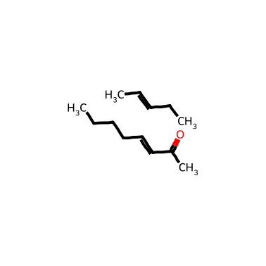 CC=CCC.CCCC/C=C/C(C)=O